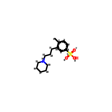 Cc1ccc(S(=O)(=O)O)cc1CCCN1CCCCC1